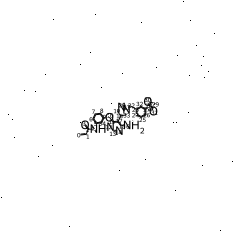 C=CC(=O)Nc1cccc(Oc2ncnc(N)c2C2C=NN(Cc3cccc(S(C)(=O)=O)c3)C2)c1